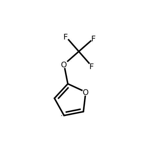 FC(F)(F)Oc1c[c]co1